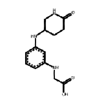 O=C(O)CNc1cccc(NC2CCC(=O)NC2)c1